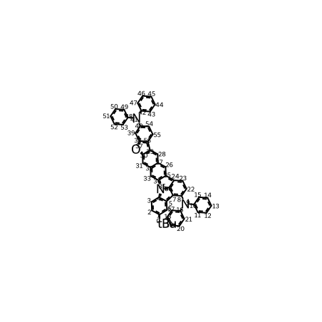 CC(C)(C)c1ccc2c(c1)c1c(N(c3ccccc3)c3ccccc3)ccc3c4cc5cc6c(cc5cc4n2c31)oc1cc(N(c2ccccc2)c2ccccc2)ccc16